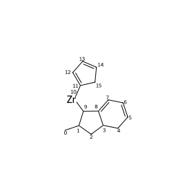 CC1CC2CC=CC=C2[CH]1[Zr][C]1=CC=CC1